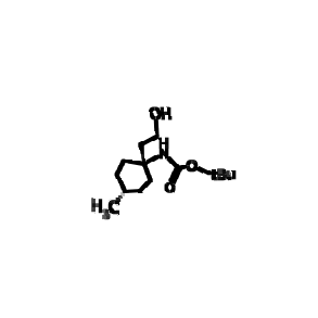 CC(C)(C)OC(=O)N[C@]1(CCO)CC[C@H](C)CC1